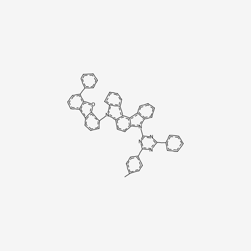 Cc1ccc(-c2nc(-c3ccccc3)nc(-n3c4ccccc4c4c5c6ccccc6n(-c6cccc7c6oc6c(-c8ccccc8)cccc67)c5ccc43)n2)cc1